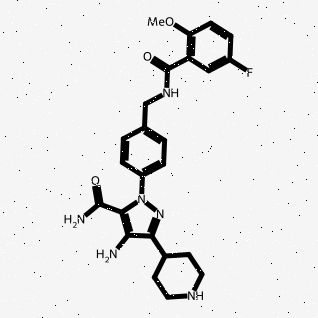 COc1ccc(F)cc1C(=O)NCc1ccc(-n2nc(C3CCNCC3)c(N)c2C(N)=O)cc1